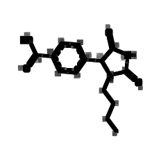 CCCCN1C(=O)NC(=O)C1c1ccc(C(=O)O)cc1